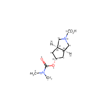 CN(C)C(=O)O[C@H]1C[C@@H]2CN(C(=O)O)C[C@@H]2C1